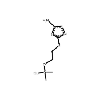 CC(C)(C)[Si](C)(C)OCCSc1nnc(N)s1